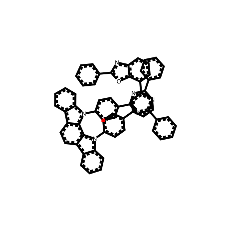 c1ccc(-c2nc(-c3ccccc3)nc(-c3ccc(-n4c5ccccc5c5ccc6c7ccccc7n(-c7ccc(-c8cccc(-c9cccc%10nc(-c%11ccccc%11)oc9%10)c8)cc7)c6c54)cc3)n2)cc1